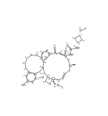 CO[C@H]1/C=C/C[C@H](C)CS(=O)(NC(=O)N[C@H]2C[C@@H](OC)C2)=NC(=O)c2ccc3c(c2)N(Cc2ccc(Cl)cc2CCCCO3)C[C@@H]2CC[C@H]21